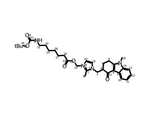 Cc1n(CC2CCc3c(c4ccccc4n3C)C2=O)cc[n+]1COC(=O)CCCCCCNC(=O)OC(C)(C)C